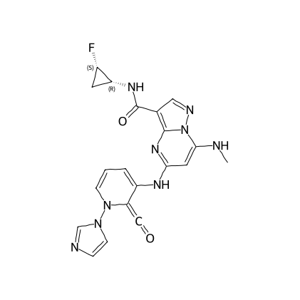 CNc1cc(NC2=CC=CN(n3ccnc3)C2=C=O)nc2c(C(=O)N[C@@H]3C[C@@H]3F)cnn12